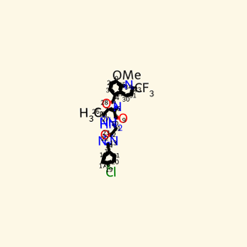 COc1ccc(-c2nc(C(=O)NCc3nc(-c4ccc(Cl)cc4)no3)c([C@H](C)N)o2)c2ccc(C(F)(F)F)nc12